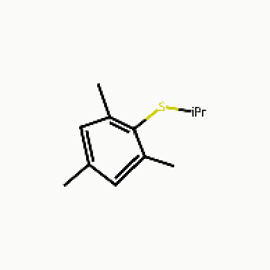 Cc1cc(C)c(SC(C)C)c(C)c1